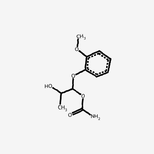 COc1ccccc1OC(OC(N)=O)C(C)O